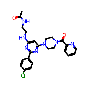 CC(=O)NCCNc1cc(N2CCN(C(=O)c3ccccn3)CC2)nc(-c2ccc(Cl)cc2)n1